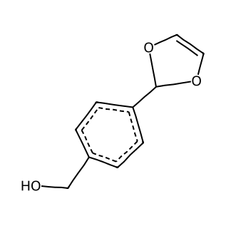 OCc1ccc(C2OC=CO2)cc1